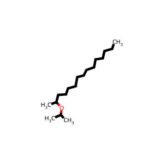 CCCCCCCCC[CH]CCCC(C)OC(C)C